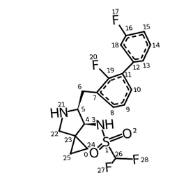 O=S(=O)(N[C@@H]1[C@H](Cc2cccc(-c3cccc(F)c3)c2F)NCC12CC2)C(F)F